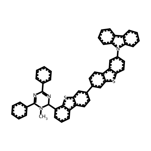 CN1C(c2ccccc2)=NC(c2ccccc2)=NC1c1cccc2c1sc1cc(-c3ccc4c(c3)sc3ccc(-n5c6ccccc6c6ccccc65)cc34)ccc12